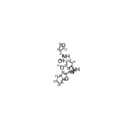 COc1c(C(=O)NCc2ccoc2)ccc2[nH]nc(-c3cc4ccccc4o3)c12